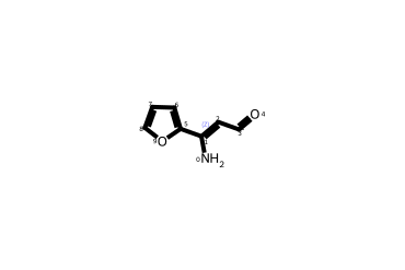 N/C(=C\[C]=O)c1ccco1